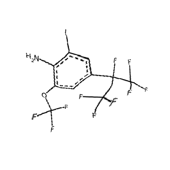 Nc1c(I)cc(C(F)(C(F)(F)F)C(F)(F)F)cc1OC(F)(F)F